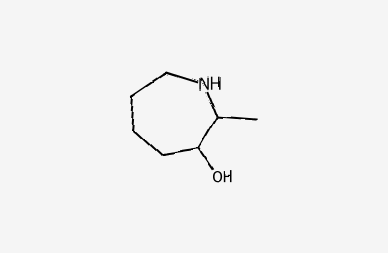 CC1NCCCCC1O